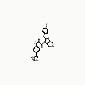 CONC(=O)c1ccc([C@H](C)NC(=O)c2c(Cc3ccc(F)cc3)sc3c2CCOC3)cc1